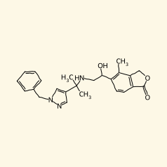 Cc1c(C(O)CNC(C)(C)c2cnn(Cc3ccccc3)c2)ccc2c1COC2=O